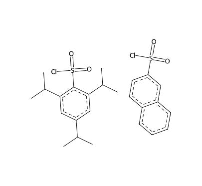 CC(C)c1cc(C(C)C)c(S(=O)(=O)Cl)c(C(C)C)c1.O=S(=O)(Cl)c1ccc2ccccc2c1